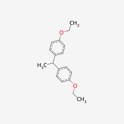 CCOc1ccc(C(C)c2ccc(OCC)cc2)cc1